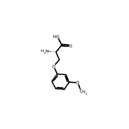 COc1cccc(OC[C@H](N)C(=O)O)c1